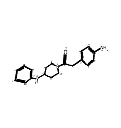 Nc1ccc(CC(=O)N2CCC(Nc3ccccc3)CC2)cc1